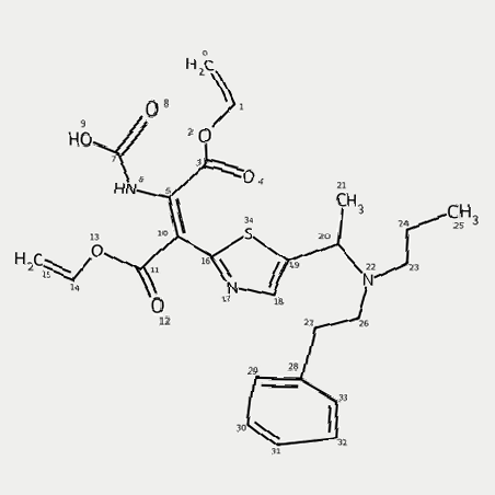 C=COC(=O)/C(NC(=O)O)=C(/C(=O)OC=C)c1ncc(C(C)N(CCC)CCc2ccccc2)s1